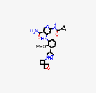 COc1c(Nc2cc(NC(=O)C3CC3)ncc2C(N)=O)cccc1-c1cnn(C2CCC23COC3)c1